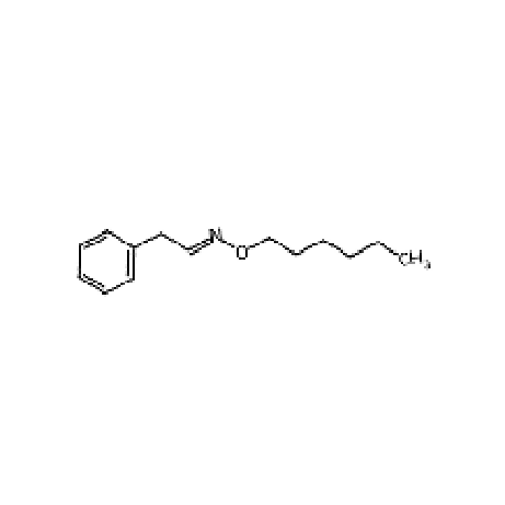 CCCCCCON=CCc1ccccc1